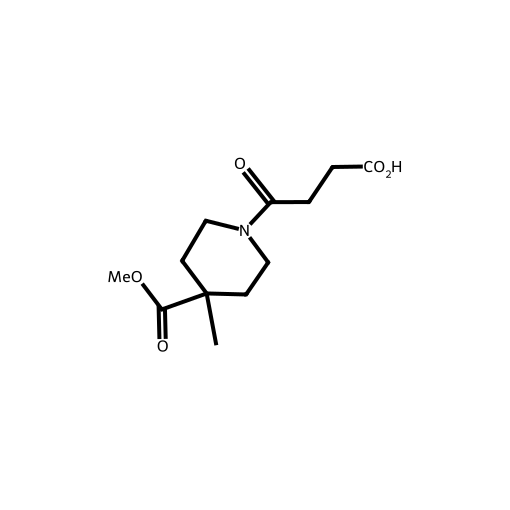 COC(=O)C1(C)CCN(C(=O)CCC(=O)O)CC1